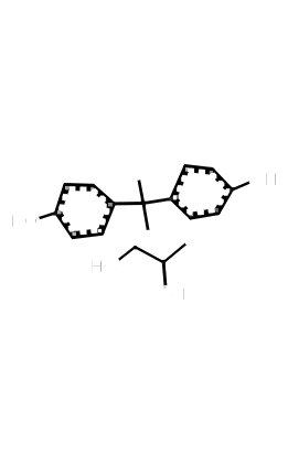 CC(C)(c1ccc(O)cc1)c1ccc(O)cc1.CC(O)CO